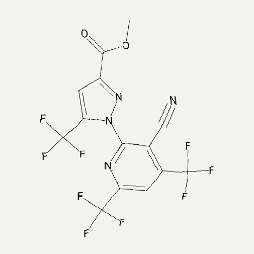 COC(=O)c1cc(C(F)(F)F)n(-c2nc(C(F)(F)F)cc(C(F)(F)F)c2C#N)n1